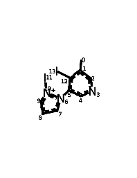 Cc1cncc(-n2ccc[n+]2I)c1I